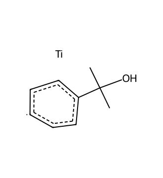 CC(C)(O)c1cc[c]cc1.[Ti]